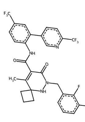 CC1=C(C(=O)Nc2ccc(C(F)(F)F)cc2-c2ccc(C(F)(F)F)nc2)C(=O)N(Cc2cccc(F)c2F)NC12CCC2